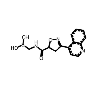 O=C(NCB(O)O)C1CC(c2ccnc3ccccc23)=NO1